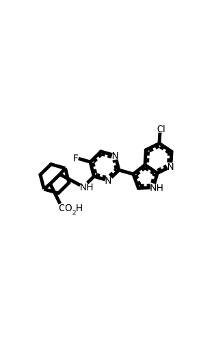 O=C(O)C1C2CCC(CC2)C1Nc1nc(-c2c[nH]c3ncc(Cl)cc23)ncc1F